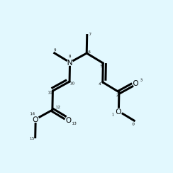 COC(=O)/C=C/C(C)N(C)/C=C/C(=O)OC